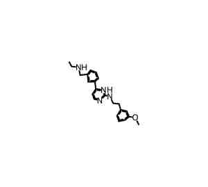 CCNCc1cccc(-c2ccnc(NCCc3cccc(OC)c3)n2)c1